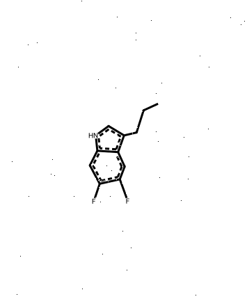 CCCc1c[nH]c2cc(F)c(F)cc12